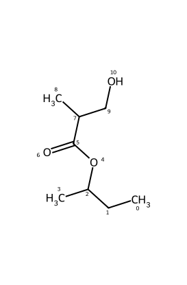 CCC(C)OC(=O)C(C)CO